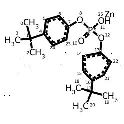 CC(C)(C)c1ccc(OP(=O)(O)Oc2ccc(C(C)(C)C)cc2)cc1.[Zn]